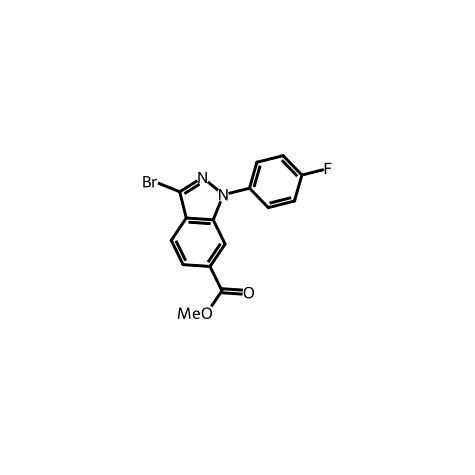 COC(=O)c1ccc2c(Br)nn(-c3ccc(F)cc3)c2c1